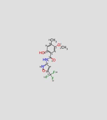 COc1cc(C(=O)Nc2cc(C(F)(F)F)on2)c(O)cc1C